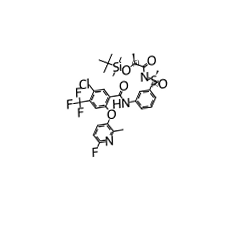 Cc1nc(F)ccc1Oc1cc(C(F)(F)F)c(Cl)cc1C(=O)Nc1cccc([S@@](C)(=O)=NC(=O)[C@H](C)O[Si](C)(C)C(C)(C)C)c1